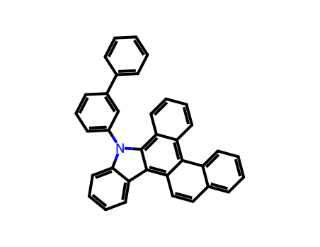 c1ccc(-c2cccc(-n3c4ccccc4c4c5ccc6ccccc6c5c5ccccc5c43)c2)cc1